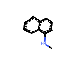 CNc1cccc2ccccc12